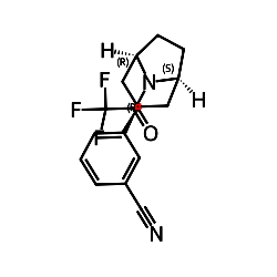 N#Cc1cccc([C@H]2C[C@H]3CC[C@@H](C2)N3C(=O)C(F)(F)F)c1